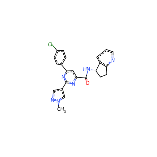 Cn1cc(-c2nc(C(=O)N[C@H]3CCc4ncccc43)cc(-c3ccc(Cl)cc3)n2)cn1